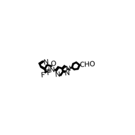 O=CC1CCC(n2cc3cc(NC(=O)c4ncccc4C(F)F)ncc3n2)CC1